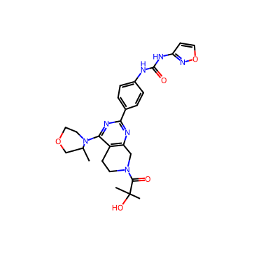 CC1COCCN1c1nc(-c2ccc(NC(=O)Nc3ccon3)cc2)nc2c1CCN(C(=O)C(C)(C)O)C2